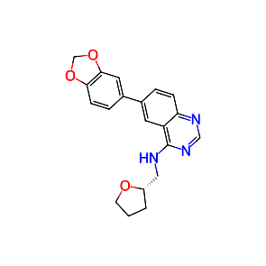 c1nc(NC[C@@H]2CCCO2)c2cc(-c3ccc4c(c3)OCO4)ccc2n1